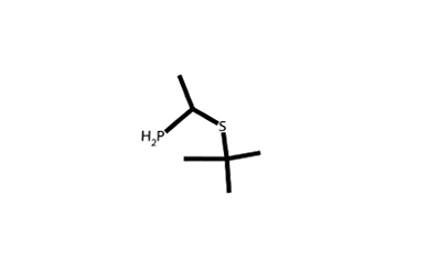 CC(P)SC(C)(C)C